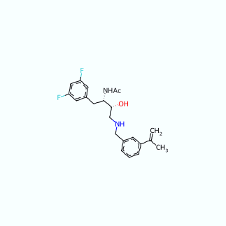 C=C(C)c1cccc(CNC[C@@H](O)[C@H](Cc2cc(F)cc(F)c2)NC(C)=O)c1